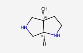 C[C@]12CCN[C@H]1CNC2